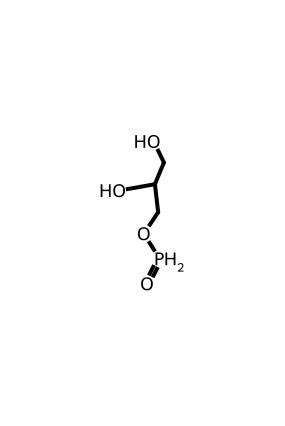 O=[PH2]OCC(O)CO